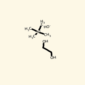 C[N+](C)(C)C.OCCO.[OH-]